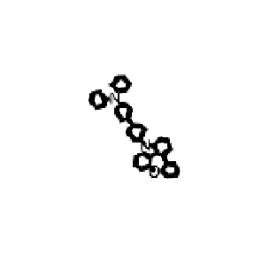 c1ccc(N(c2ccccc2)c2ccc(-c3ccc(-n4c5cccc6oc7ccccc7c7cccc4c7c65)cc3)cc2)cc1